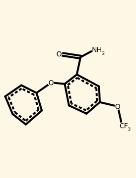 NC(=O)c1cc(OC(F)(F)F)ccc1Oc1ccccc1